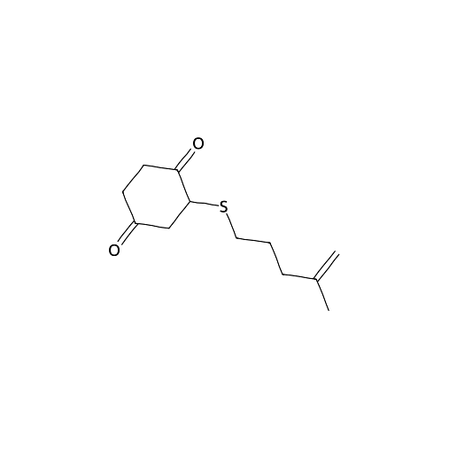 C=C(C)CCCSC1CC(=O)CCC1=O